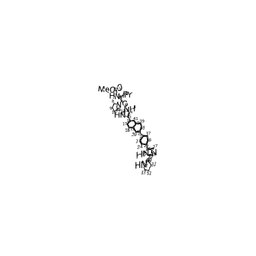 COC(=O)N[C@H](C(=O)N1CCC[C@H]1C1NC=C(c2ccc3cc(-c4ccc(-c5cnc([C@@H]6CCCN6)[nH]5)cc4)ccc3c2)N1)C(C)C